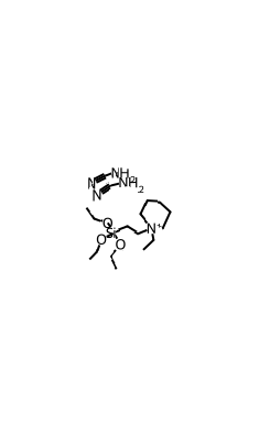 CCO[Si](CC[N+]1(CC)CCCCC1)(OCC)OCC.N#CN.N#CN